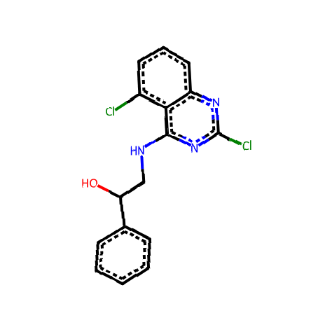 OC(CNc1nc(Cl)nc2cccc(Cl)c12)c1ccccc1